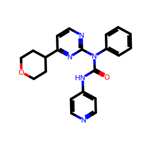 O=C(Nc1ccncc1)N(c1ccccc1)c1nccc(C2CCOCC2)n1